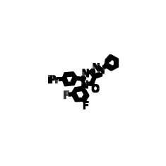 CC(C)c1ccc(-c2nc3nn(-c4ccccc4)cc3c(=O)n2-c2cc(F)cc(F)c2)cc1